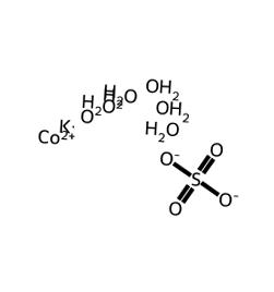 O.O.O.O.O.O.O=S(=O)([O-])[O-].[Co+2].[K]